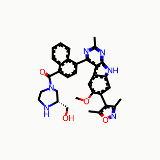 COc1cc2c(cc1-c1c(C)noc1C)[nH]c1nc(C)nc(-c3ccc(C(=O)N4CCN[C@@H](CO)C4)c4ccccc34)c12